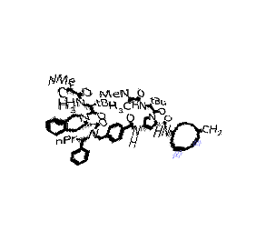 C=C1/C=C\C=C/C[C@H](NC(=O)[C@@H]2C[C@H](NC(=O)c3ccc(CN(C(=O)[C@@H]4Cc5ccccc5CN4C(=O)[C@@H](NC(=O)[C@H](C)NC)C(C)(C)C)[C@H](CCC)c4ccccc4)cc3)CN2C(=O)[C@@H](NC(=O)[C@H](C)NC)C(C)(C)C)CCC1